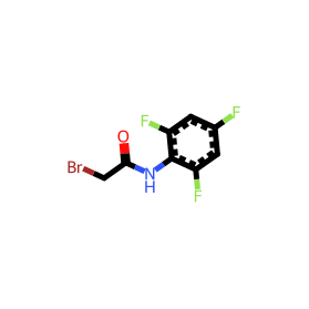 O=C(CBr)Nc1c(F)cc(F)cc1F